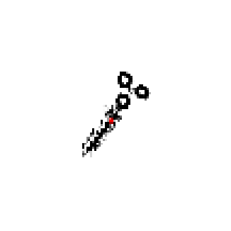 O=S(=O)([O-])C(F)(F)C(F)(F)C(F)(F)C(F)(F)C(F)(F)C(F)(F)C(F)(F)C(F)(F)F.c1ccc([S+](c2ccccc2)c2ccccc2)cc1